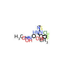 COC[C@H](O)CN[C@H]1CC[C@H](C2=C(C(=O)OC)C(c3ccc(F)c(F)c3Cl)N=C(c3nccs3)N2)CC1